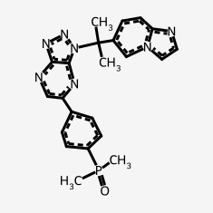 CC(C)(c1ccc2nccn2c1)n1nnc2ncc(-c3ccc(P(C)(C)=O)cc3)nc21